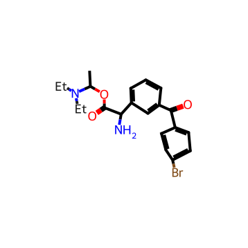 CCN(CC)C(C)OC(=O)C(N)c1cccc(C(=O)c2ccc(Br)cc2)c1